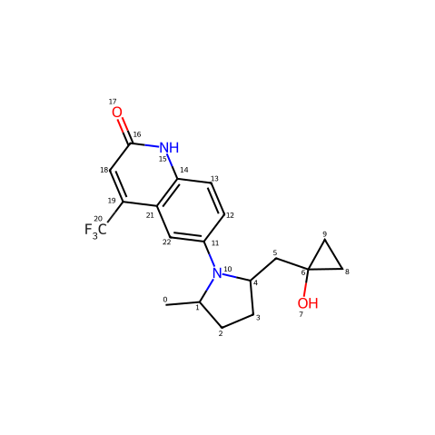 CC1CCC(CC2(O)CC2)N1c1ccc2[nH]c(=O)cc(C(F)(F)F)c2c1